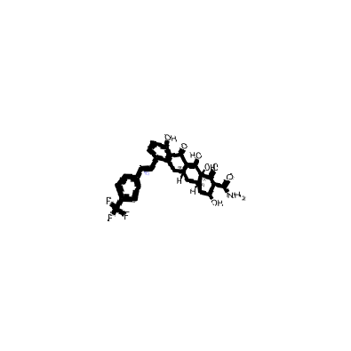 NC(=O)C1C(=O)[C@@]2(O)C(O)=C3C(=O)c4c(O)ccc(/C=C/c5ccc(C(F)(F)F)cc5)c4C[C@H]3C[C@H]2CC1O